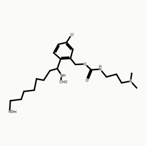 CCCCCCCCCCCCCCCCCC(NC=O)c1ccc(Cl)cc1COC(=O)NCCCN(C)C